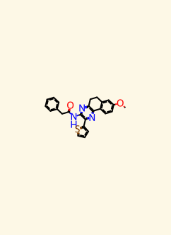 COc1ccc2c(c1)CCc1nc(NC(=O)Cc3ccccc3)c(-c3cccs3)nc1-2